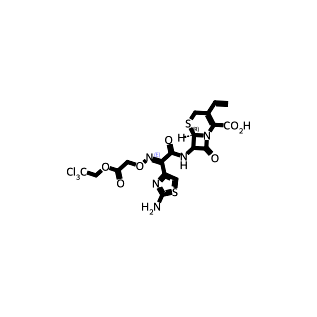 C=CC1=C(C(=O)O)N2C(=O)C(NC(=O)/C(=N/OCC(=O)OCC(Cl)(Cl)Cl)c3csc(N)n3)[C@H]2SC1